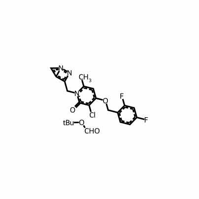 CC(C)(C)OC=O.Cc1cc(OCc2ccc(F)cc2F)c(Cl)c(=O)n1Cc1nn2cc1-2